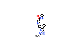 Cc1cc2ncc3cc(-c4ccccc4)c(-c4ccc(CN5CCC(C(=O)Nc6ccccc6O)CC5)cc4)nc3n2n1